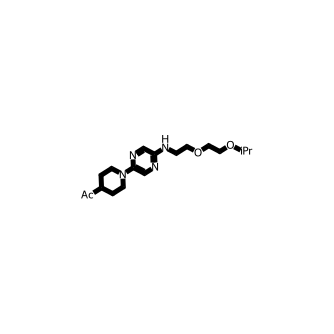 CC(=O)C1CCN(c2cnc(NCCOCCOC(C)C)cn2)CC1